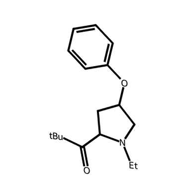 CCN1CC(Oc2ccccc2)CC1C(=O)C(C)(C)C